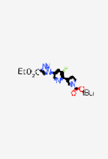 CCOC(=O)c1cn(-c2cnc(C3=CCN(C(=O)OC(C)(C)C)C3)c(F)c2)nn1